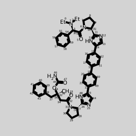 CCN(CC)[C@@H](C(=O)N1CCC[C@H]1c1ncc(-c2ccc(-c3ccc(-c4cnc([C@@H]5CCCN5C(=O)C[C@@](C)(Cc5ccccc5)OC(N)=O)[nH]4)cc3)cc2)[nH]1)c1ccccc1